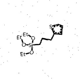 CCO[Si](CCCc1cccs1)(OCC)OCC